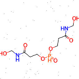 O=C(CCO[PH](=O)OCCC(=O)NCO)NCO